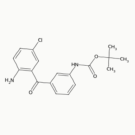 CC(C)(C)OC(=O)Nc1cccc(C(=O)c2cc(Cl)ccc2N)c1